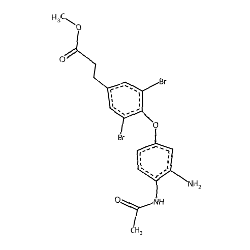 COC(=O)CCc1cc(Br)c(Oc2ccc(NC(C)=O)c(N)c2)c(Br)c1